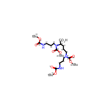 CC(C)(C)OC(=O)NCCCN(CCCC(C(=O)O)N(CCCNC(=O)OC(C)(C)C)C(=O)OC(C)(C)C)C(=O)OC(C)(C)C